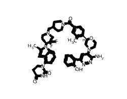 Cc1cc(C(=O)N2CCC(CN3CCC(n4c(C)cc5c(N6CCC(=O)NC6=O)cccc54)C(F)(F)C3)CC2)ccc1[C@@H]1CN(c2cc(-c3ccccc3O)nnc2N)CCO1